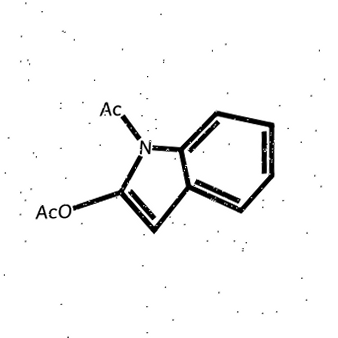 CC(=O)Oc1cc2ccccc2n1C(C)=O